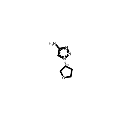 Nc1cn([C@@H]2CCOC2)nn1